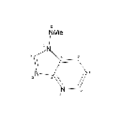 CNn1cnc2ncccc21